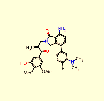 C=C(CN1Cc2c(-c3ccc(CC)c(N(C)C)c3)ccc(N)c2C1=O)C(=O)c1cc(O)c(OC)c(OC)c1